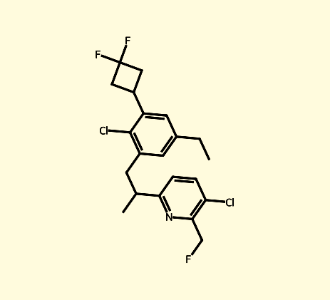 CCc1cc(CC(C)c2ccc(Cl)c(CF)n2)c(Cl)c(C2CC(F)(F)C2)c1